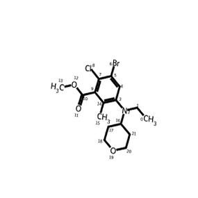 CCN(c1cc(Br)c(Cl)c(C(=O)OC)c1C)C1CCOCC1